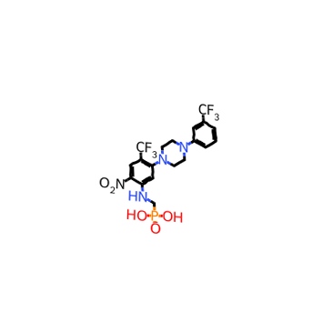 O=[N+]([O-])c1cc(C(F)(F)F)c(N2CCN(c3cccc(C(F)(F)F)c3)CC2)cc1NCP(=O)(O)O